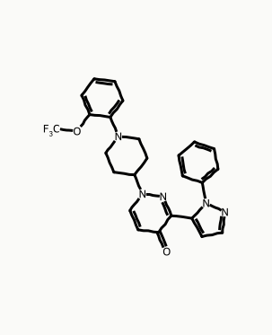 O=c1ccn(C2CCN(c3ccccc3OC(F)(F)F)CC2)nc1-c1ccnn1-c1ccccc1